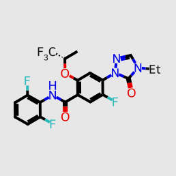 CCn1cnn(-c2cc(O[C@@H](C)C(F)(F)F)c(C(=O)Nc3c(F)cccc3F)cc2F)c1=O